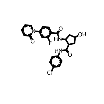 O=C(NC1CC(O)CC1C(=O)Nc1ccc(Cl)cc1)c1ccc(-n2ccccc2=O)cc1F